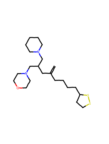 C=C(CCCCC1CCSS1)CC(CN1CCCCC1)CN1CCOCC1